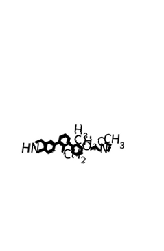 C=Cc1c(-c2ccc3c(c2)CCNC3)cccc1-c1cccc(OCCCN2CCC2(C)C)c1C